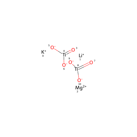 [K+].[Li+].[Mg+2].[O]=[Ti]([O-])[O-].[O]=[Ti]([O-])[O-]